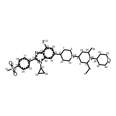 CCC1CC(N2CCC(c3cc(F)c4nc(-c5ccc(S(C)(=O)=O)cc5)n(C5CC5)c4c3)CC2)CC(C)N1C1CCOCC1